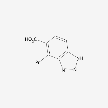 CC(C)c1c(C(=O)O)ccc2[nH]nnc12